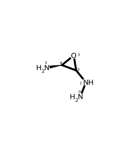 NNC1O[C@@H]1N